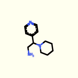 NCC(c1ccncc1)N1CCCCC1